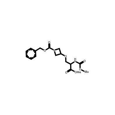 COC(=O)C(COC1CN(C(=O)OCc2ccccc2)C1)NC(=O)OC(C)(C)C